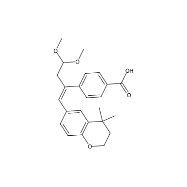 COC(CC(=Cc1ccc2c(c1)C(C)(C)CCO2)c1ccc(C(=O)O)cc1)OC